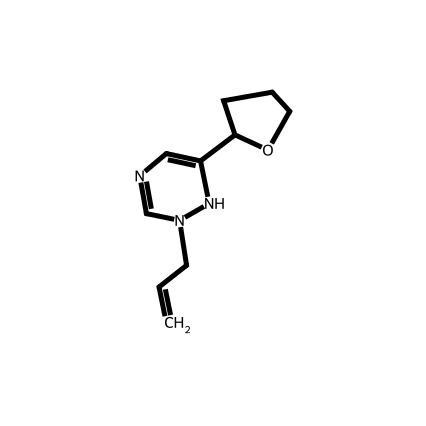 C=CCN1C=NC=C(C2CCCO2)N1